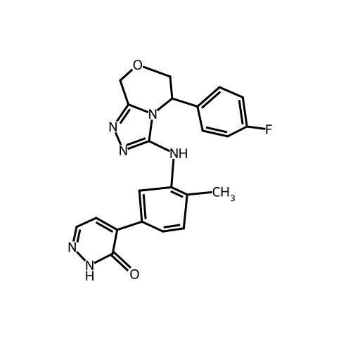 Cc1ccc(-c2ccn[nH]c2=O)cc1Nc1nnc2n1C(c1ccc(F)cc1)COC2